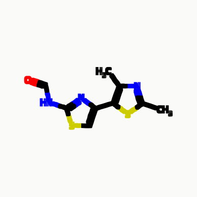 Cc1nc(C)c(-c2csc(NC=O)n2)s1